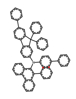 c1ccc(-c2ccc(N(c3ccc4c(c3)C(c3ccccc3)(c3ccccc3)c3cc(-c5ccccc5)ccc3-4)c3c(-c4ccccc4)c4ccccc4c4ccccc34)cc2)cc1